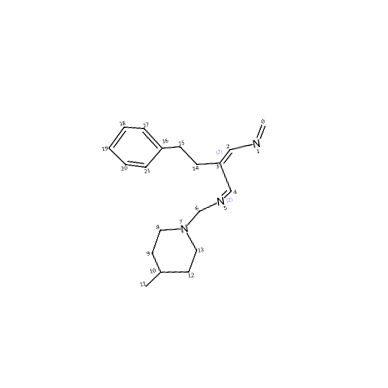 C=N/C=C(\C=N/CN1CCC(C)CC1)CCc1ccccc1